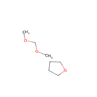 C1CCOC1.COCOC